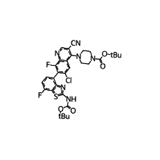 CC(C)(C)OC(=O)Nc1nc2c(-c3c(Cl)cc4c(N5CCN(C(=O)OC(C)(C)C)CC5)c(C#N)cnc4c3F)ccc(F)c2s1